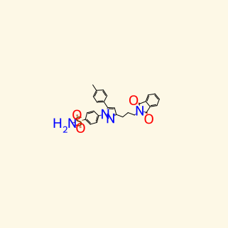 Cc1ccc(-c2cc(CCCN3C(=O)c4ccccc4C3=O)nn2-c2ccc(S(N)(=O)=O)cc2)cc1